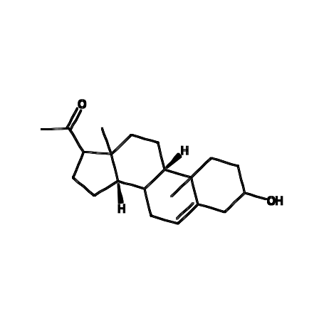 CC(=O)C1CC[C@H]2C3CC=C4CC(O)CCC4(C)[C@H]3CCC12C